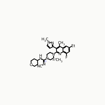 CCc1cc(F)c2nc(N3CCN(/C(=N/C#N)NC4CCOCC4)C[C@H]3C)c(-c3ccn(C)n3)c(C)c2c1